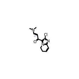 CN(C)/C=C/C(=O)c1c(Cl)nc2n1CCC=C2